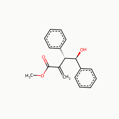 C=C(C(=O)OC)[C@H](c1ccccc1)[C@@H](O)c1ccccc1